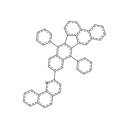 c1ccc(-c2c3c(c(-c4ccccc4)c4cc(-c5ccc6ccc7ccccc7c6n5)ccc24)-c2cc4ccccc4c4cccc-3c24)cc1